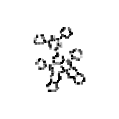 c1ccc(-c2cc(-c3cc4c5c(c3)N(c3ccccc3)c3cc6ccccc6cc3B5c3cc5ccccc5cc3N4c3ccccc3)nc(-c3ccccc3)n2)cc1